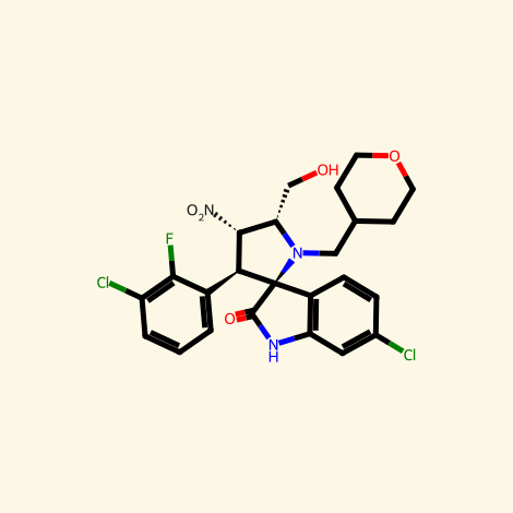 O=C1Nc2cc(Cl)ccc2[C@@]12[C@@H](c1cccc(Cl)c1F)[C@H]([N+](=O)[O-])[C@H](CO)N2CC1CCOCC1